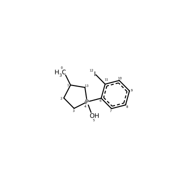 CC1CC[P](O)(c2ccccc2I)C1